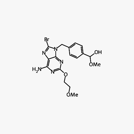 COCCOc1nc(N)c2nc(Br)n(Cc3ccc(C(O)OC)cc3)c2n1